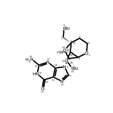 CC(C)(C)C[C@@]12CCOC([C@H](n3cnc4c(=O)[nH]c(N)nc43)O1)[C@H]2OC(C)(C)C